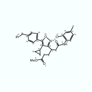 COC(=O)CCC(CC(=O)Nc1ccc(C)cc1Cl)c1noc(-c2ccc(CC(C)C)cc2)c1C1CC1